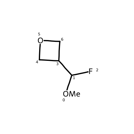 COC(F)C1COC1